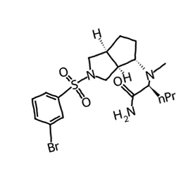 CCC[C@@H](C(N)=O)N(C)[C@H]1CC[C@@H]2CN(S(=O)(=O)c3cccc(Br)c3)C[C@@H]21